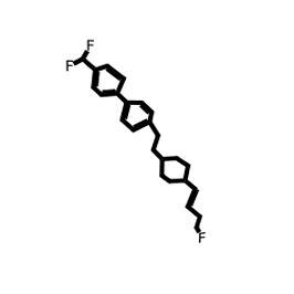 FCCC=CC1CCC(CCc2ccc(-c3ccc(C(F)F)cc3)cc2)CC1